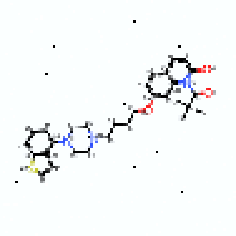 CC(C)(C)C(=O)n1c(=O)ccc2ccc(OCCCCN3CCN(c4cccc5sccc45)CC3)cc21